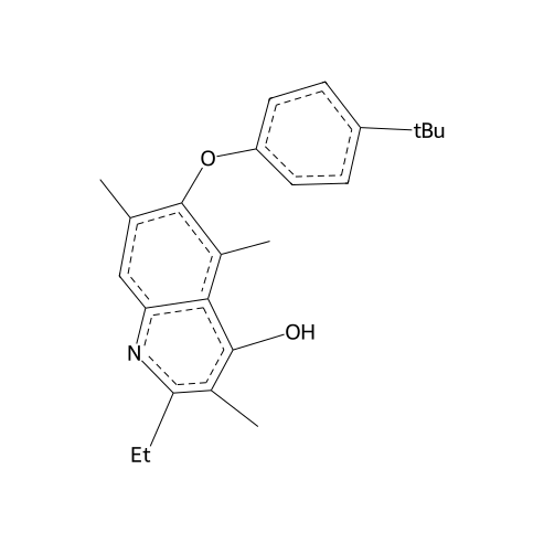 CCc1nc2cc(C)c(Oc3ccc(C(C)(C)C)cc3)c(C)c2c(O)c1C